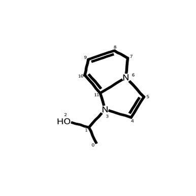 CC(O)N1C=CN2CC=CC=C21